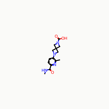 CNC(=O)c1ccc(N2CC3(CN(C(=O)O)C3)C2)c(C)n1